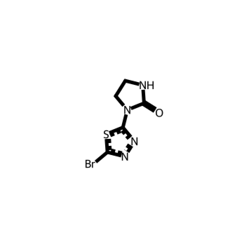 O=C1NCCN1c1nnc(Br)s1